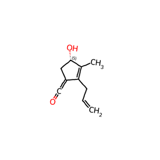 C=CCC1=C(C)[C@@H](O)CC1=C=O